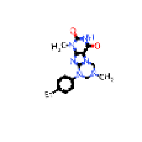 CCc1ccc(N2CN(C)Cn3c2nc2c3c(=O)[nH]c(=O)n2C)cc1